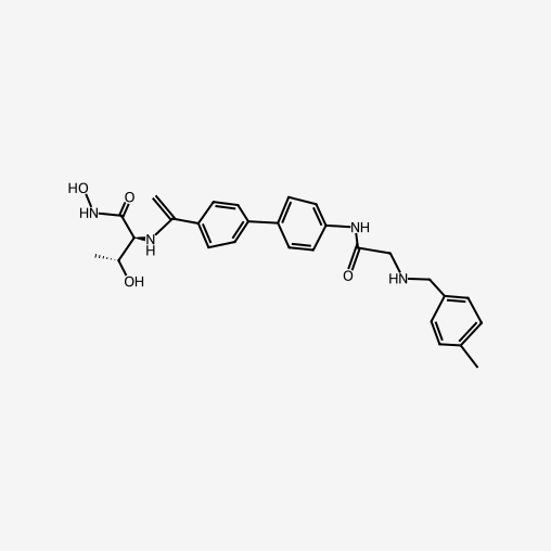 C=C(N[C@H](C(=O)NO)[C@@H](C)O)c1ccc(-c2ccc(NC(=O)CNCc3ccc(C)cc3)cc2)cc1